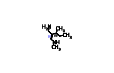 CC[C@H](C)/C(=C\NC)CN